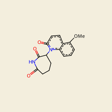 COc1cccc2c1ccc(=O)n2C1CCCC(=O)NC1=O